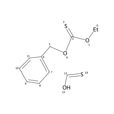 CCOC(=S)OCc1ccccc1.OC=S